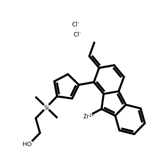 CC=c1ccc2c(c1C1=CC([Si](C)(C)CCO)=CC1)[C]([Zr+2])=c1ccccc1=2.[Cl-].[Cl-]